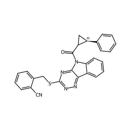 N#Cc1ccccc1CSc1nnc2c3ccccc3n(C(=O)C3C[C@H]3c3ccccc3)c2n1